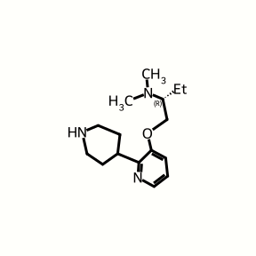 CC[C@H](COc1cccnc1C1CCNCC1)N(C)C